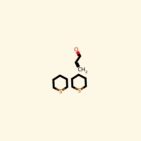 C1CCSCC1.C1CCSCC1.C=CC=O